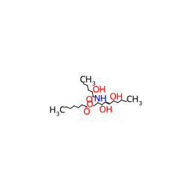 CCCCCCC(=O)OCC(NC(=O)C(O)CCCC)C(O)/C=C/C(O)CCCC